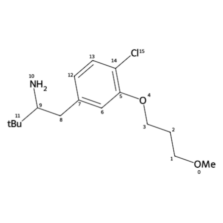 COCCCOc1cc(CC(N)C(C)(C)C)ccc1Cl